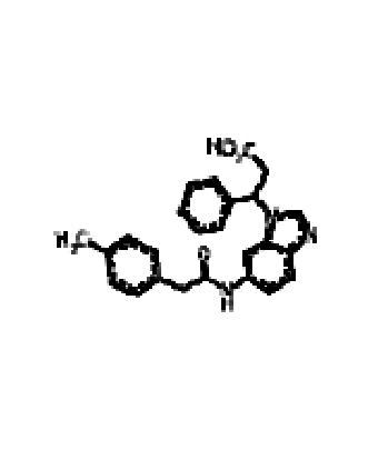 Cc1ccc(CC(=O)Nc2ccc3ncn(C(CC(=O)O)c4ccccc4)c3c2)cc1